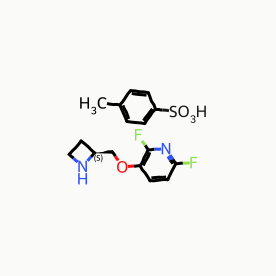 Cc1ccc(S(=O)(=O)O)cc1.Fc1ccc(OC[C@@H]2CCN2)c(F)n1